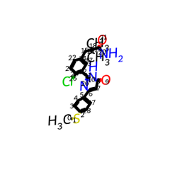 CSc1ccc(-c2cc(=O)[nH]c(-c3cc(CC(C)(C)C(N)=O)ccc3Cl)n2)cc1